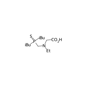 CCC(C)P(=S)(CN(CC)CC(=O)O)C(C)CC